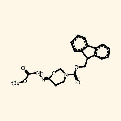 CC(C)(C)OC(=O)NN=C1CCN(C(=O)OCC2c3ccccc3-c3ccccc32)CC1